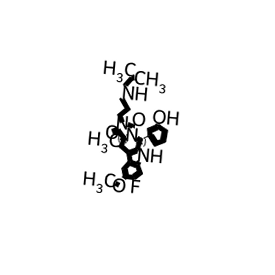 COc1cc2c3c([nH]c2cc1F)[C@@H](c1cccc(O)c1)N1C(=O)N(CCCNCC(C)C)C(=O)[C@]1(C)C3